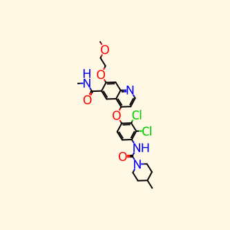 CNC(=O)c1cc2c(Oc3ccc(NC(=O)N4CCC(C)CC4)c(Cl)c3Cl)ccnc2cc1OCCOC